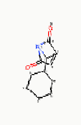 O=C1C=C2C(=O)N1C2C1CCCCC1